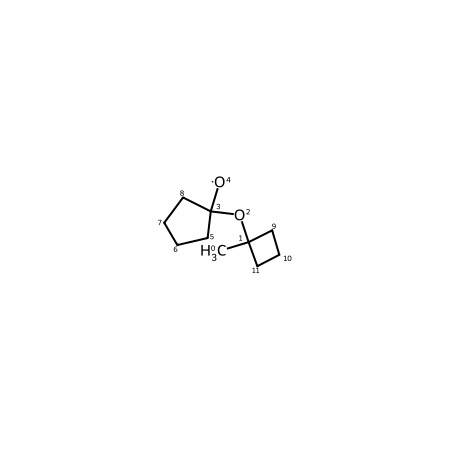 CC1(OC2([O])CCCC2)CCC1